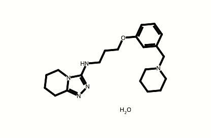 O.c1cc(CN2CCCCC2)cc(OCCCNc2nnc3n2CCCC3)c1